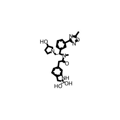 Cc1nc(-c2cccc([C@@H](CN3CCC(O)C3)N(C)C(=O)Cc3ccc4c(c3)NS(O)(O)C4)c2)no1